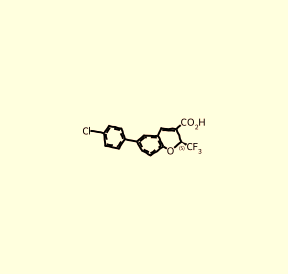 O=C(O)C1=Cc2cc(-c3ccc(Cl)cc3)ccc2O[C@@H]1C(F)(F)F